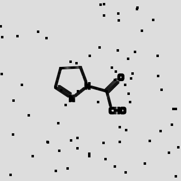 O=CC(=O)N1CCC=N1